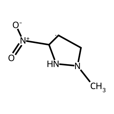 CN1C[CH]C([N+](=O)[O-])N1